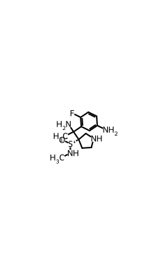 CN[S+]([O-])[C@]1(C(C)(N)c2cc(N)ccc2F)CCNC1